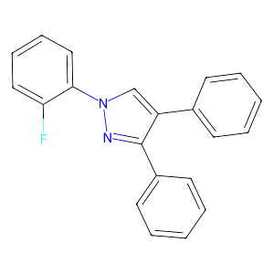 Fc1ccccc1-n1cc(-c2ccccc2)c(-c2ccccc2)n1